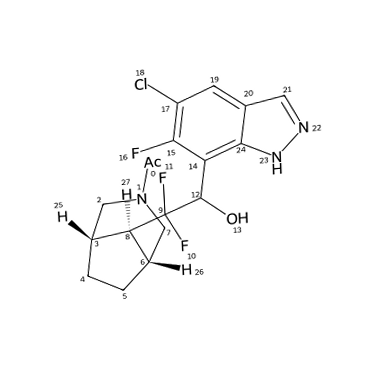 CC(=O)N1C[C@H]2CC[C@@H](C1)[C@@H]2C(F)(F)C(O)c1c(F)c(Cl)cc2cn[nH]c12